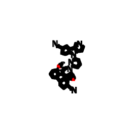 N#Cc1ccc2c(c1)C1(c3ccccc3-2)c2ccccc2N(c2cccc(-n3c4ccncc4c4cc(C#N)ccc43)n2)c2ccccc21